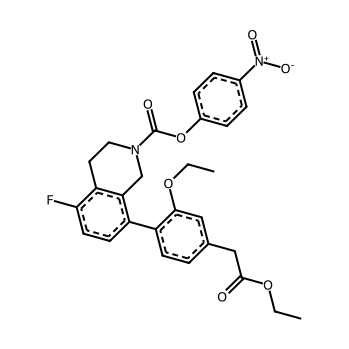 CCOC(=O)Cc1ccc(-c2ccc(F)c3c2CN(C(=O)Oc2ccc([N+](=O)[O-])cc2)CC3)c(OCC)c1